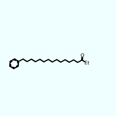 CCC(=O)CCCCCCCCCCCCCCc1ccccc1